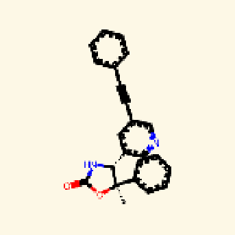 C[C@]1(c2ccccc2)OC(=O)N[C@@H]1c1cncc(C#Cc2ccccc2)c1